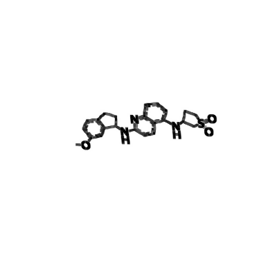 COc1ccc2c(c1)C(Nc1ccc3c(NC4CCS(=O)(=O)C4)cccc3n1)CC2